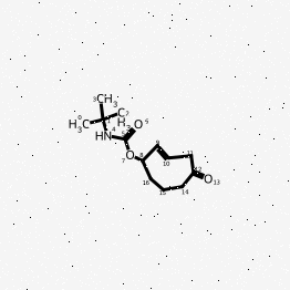 CC(C)(C)NC(=O)OC1/C=C/CC(=O)CCC1